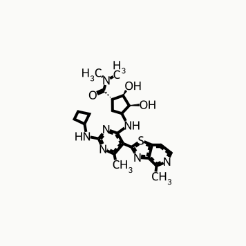 Cc1nc(NC2CCC2)nc(NC2C[C@H](C(=O)N(C)C)[C@@H](O)[C@H]2O)c1-c1nc2c(C)nccc2s1